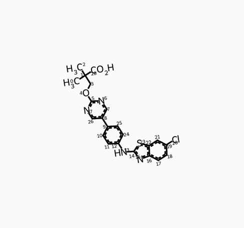 CC(C)(COc1ncc(-c2ccc(Nc3nc4ccc(Cl)cc4s3)cc2)cn1)C(=O)O